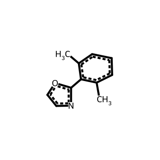 Cc1cccc(C)c1-c1ncco1